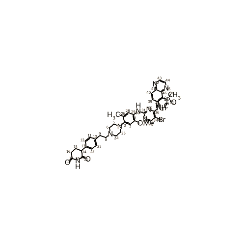 COc1cc(N2CCN(CCc3ccc(C4CCC(=O)NC4=O)cc3)CC2)c(C)cc1Nc1ncc(Br)c(Nc2ccc3nccnc3c2P(C)(C)=O)n1